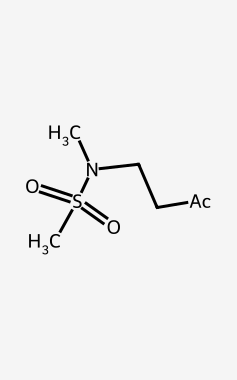 CC(=O)CCN(C)S(C)(=O)=O